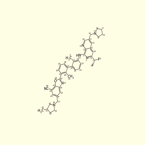 Cc1c(Nc2nc(C(F)F)cc3cc(CN4CCCC4)cnc23)cccc1-c1cccc(-c2nc3cc(CN4CCC(C)C4)cc(C#N)c3o2)c1C